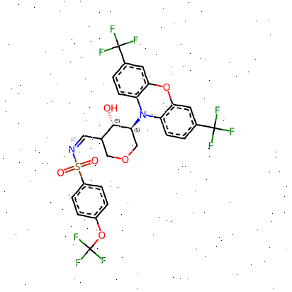 O=S(=O)(/N=C\C1COC[C@H](N2c3ccc(C(F)(F)F)cc3Oc3cc(C(F)(F)F)ccc32)[C@H]1O)c1ccc(OC(F)(F)F)cc1